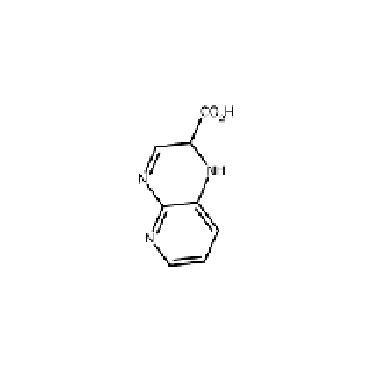 O=C(O)C1C=Nc2ncccc2N1